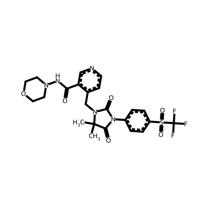 CC1(C)C(=O)N(c2ccc(S(=O)(=O)C(F)(F)F)cc2)C(=O)N1Cc1ccncc1C(=O)NN1CCOCC1